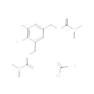 CCC(C)c1cc(COC(=S)N(C)C)cc(CSC(=S)N(C)C)c1O.NC(O)=S